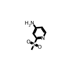 CS(=O)(=O)c1cc(N)ccn1